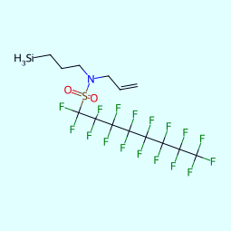 C=CCN(CCC[SiH3])S(=O)(=O)C(F)(F)C(F)(F)C(F)(F)C(F)(F)C(F)(F)C(F)(F)C(F)(F)C(F)(F)F